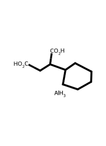 O=C(O)CC(C(=O)O)C1CCCCC1.[AlH3]